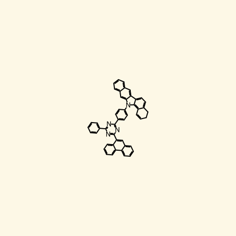 C1=Cc2c(ccc3c4cc5ccccc5cc4n(-c4ccc(-c5nc(-c6ccccc6)nc(-c6cc7ccccc7c7ccccc67)n5)cc4)c23)CC1